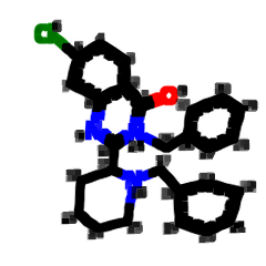 O=c1c2ccc(Cl)cc2nc(C2CCCCN2Cc2ccccc2)n1Cc1ccccc1